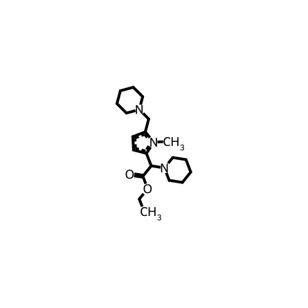 CCOC(=O)C(c1ccc(CN2CCCCC2)n1C)N1CCCCC1